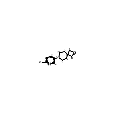 CC(C)c1ccc(N2CCC3(CC2)COC3)cn1